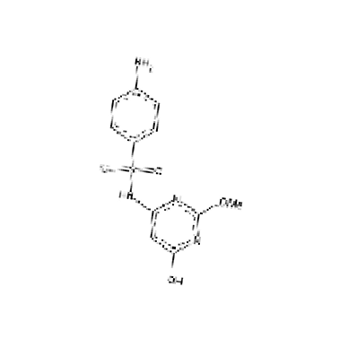 COc1nc(O)cc(NS(=O)(=O)c2ccc(N)cc2)n1